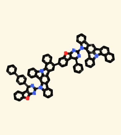 c1ccc(-c2ccc(-c3nc(-n4c5ccccc5c5cc6c7cc(-c8ccc9c(c8)oc8nc(-n%10c%11ccccc%11c%11cc%12c%13ccc%14ccccc%14c%13n%13c%14ccccc%14c(c%11%10)c%12%13)nc(-c%10ccccc%10)c89)c8ccccc8c7n7c8ccccc8c(c54)c67)nc4oc5ccccc5c34)cc2)cc1